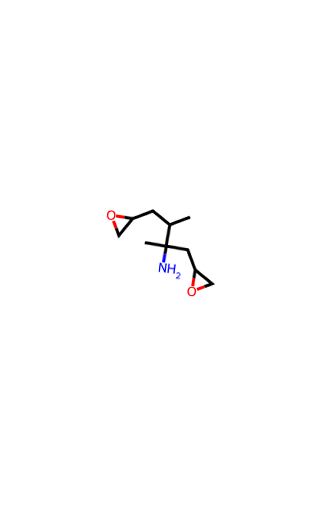 CC(CC1CO1)C(C)(N)CC1CO1